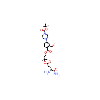 CC(C)(C)OC(=O)N1CCN(c2ccc(C(=O)OCCC(C)(C)OC(=O)CC[C@H](N)C(N)=O)c(C=O)c2)CC1